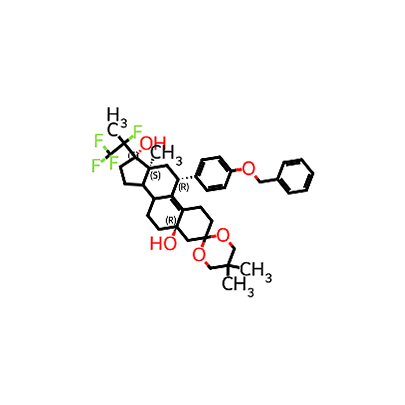 CC1(C)COC2(CCC3=C4C(CC[C@@]3(O)C2)C2CC[C@@](O)(C(C)(F)C(F)(F)F)[C@@]2(C)C[C@@H]4c2ccc(OCc3ccccc3)cc2)OC1